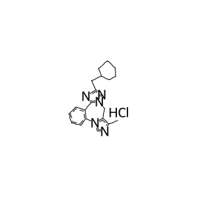 Cc1ncn2c1Cn1nc(CC3CCCCC3)nc1-c1ccccc1-2.Cl